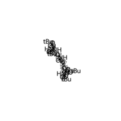 CC(C)(C)OC(=O)/N=C(/NCc1ccc(NC(=O)c2ccc(C3=CCN(/C(=N\C(=O)OC(C)(C)C)NC(=O)OC(C)(C)C)CC3)s2)cc1)NC(=O)OC(C)(C)C